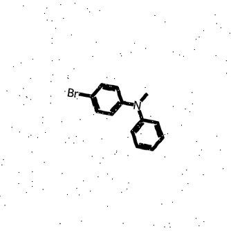 CN(c1ccccc1)c1ccc(Br)cc1